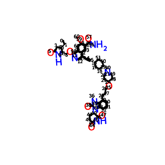 CC[C@@H]1CC(=O)N[C@@H]1COc1ncc(C#C[C@H]2CC[C@@H](CN3CCC(OCCCc4cccc5c4n(C)c(=O)n5C4CCC(=O)NC4=O)CC3)CC2)c2cc(C(N)=O)c(OC)cc12